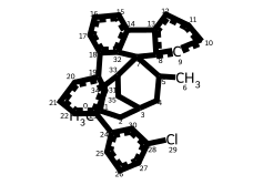 CC1CC2CC(C)C3(c4ccccc4-c4cccc(-c5cccc(-c6cccc(Cl)c6)c5)c43)C(C1)C2